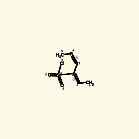 C/C=C(\C=N/C)S(=O)(=O)Cl